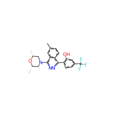 Cc1ccc2c(-c3ccc(C(F)(F)F)cc3O)nnc(N3C[C@@H](C)O[C@@H](C)C3)c2c1